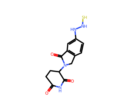 O=C1CCC(N2Cc3ccc(NNS)cc3C2=O)C(=O)N1